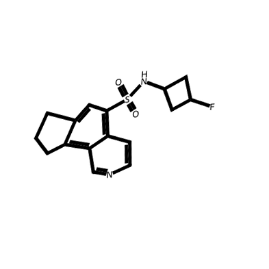 O=S(=O)(NC1CC(F)C1)c1cc2c(c3cnccc13)CCC2